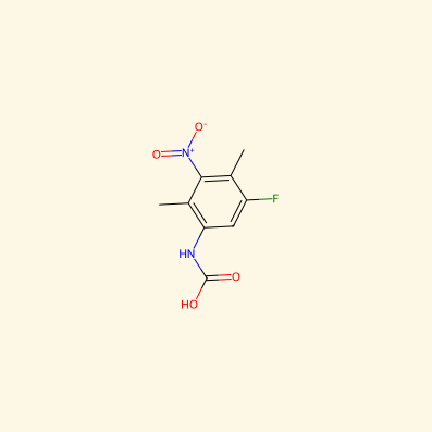 Cc1c(F)cc(NC(=O)O)c(C)c1[N+](=O)[O-]